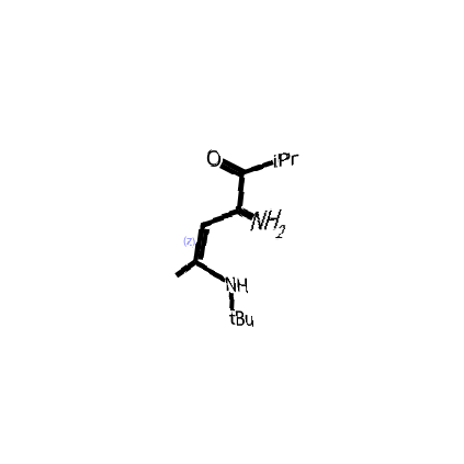 C/C(=C/C(N)C(=O)C(C)C)NC(C)(C)C